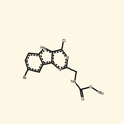 CC(C)(C)OC(=O)NCc1nc(Cl)c2[nH]c3ccc(Br)cc3c2n1